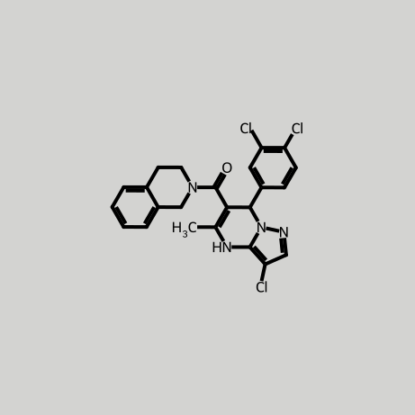 CC1=C(C(=O)N2CCc3ccccc3C2)C(c2ccc(Cl)c(Cl)c2)n2ncc(Cl)c2N1